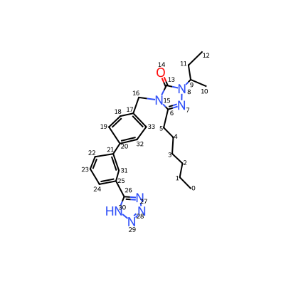 CCCCCCc1nn(C(C)CC)c(=O)n1Cc1ccc(-c2cccc(-c3nnn[nH]3)c2)cc1